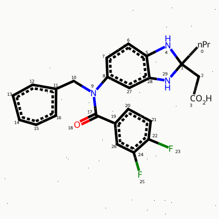 CCCC1(CC(=O)O)Nc2ccc(N(Cc3ccccc3)C(=O)c3ccc(F)c(F)c3)cc2N1